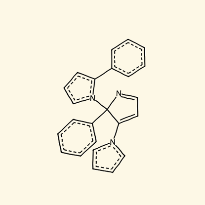 C1=NC(c2ccccc2)(n2cccc2-c2ccccc2)C(n2cccc2)=C1